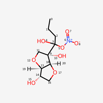 C[CH]CC(O)(O[N+](=O)[O-])[C@]1(O)CO[C@@H]2[C@@H](O)CO[C@@H]21